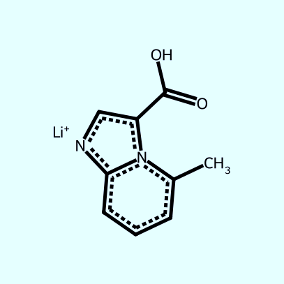 Cc1cccc2ncc(C(=O)O)n12.[Li+]